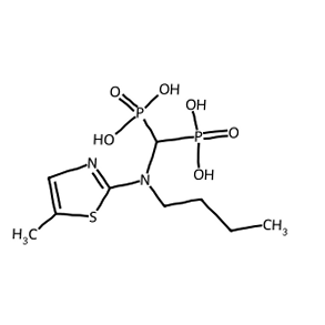 CCCCN(c1ncc(C)s1)C(P(=O)(O)O)P(=O)(O)O